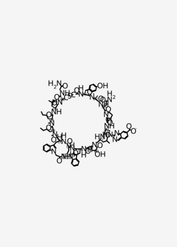 CCCC[C@H]1C(=O)N(C)[C@@H](CCCC)C(=O)N[C@@H](CC(C)C)C(=O)N[C@H](C(=O)NCC(N)=O)CSCC(=O)N[C@@H](Cc2ccc(O)cc2)C(=O)N(C)[C@@H](C)C(=O)N[C@@H](CC(N)=O)C(=O)N2CCC[C@H]2C(=O)N[C@@H](CNc2ncc3ccc(C(=O)OC)cc3n2)C(=O)N[C@@H](CC(C)C)C(=O)N2C[C@H](O)C[C@H]2C(=O)N[C@@H](Cc2c[nH]c3ccccc23)C(=O)N[C@H]2CCNC(=O)Cn3cc(c4ccccc43)C[C@H](NC2=O)C(=O)N1C